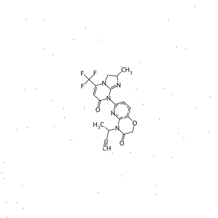 C#CC(C)N1C(=O)COc2ccc(N3C(=O)C=C(C(F)(F)F)N4CC(C)N=C43)nc21